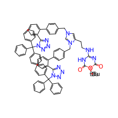 CC(C)(C)OC(=O)N=C(NCCc1cn(Cc2ccc(-c3ccccc3-c3nnnn3C(c3ccccc3)(c3ccccc3)c3ccccc3)cc2)c[n+]1Cc1ccc(-c2ccccc2-c2nnnn2C(c2ccccc2)(c2ccccc2)c2ccccc2)cc1)NC(=O)OC(C)(C)C